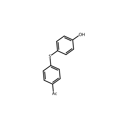 CC(=O)c1ccc(Sc2ccc(O)cc2)cc1